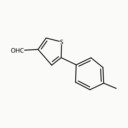 Cc1ccc(-c2cc(C=O)cs2)cc1